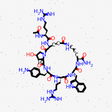 CC(=O)N[C@@H](CCCNC(=N)N)C(=O)N[C@H]1CCC(=O)NCCC[C@@H](C(N)=O)NC(=O)[C@H](Cc2c[nH]c3ccccc23)NC(=O)[C@H](CCCNC(=N)N)NC(=O)[C@@H](Cc2ccc(N)cc2)NC(=O)[C@@H]2C[C@@H](O)CN2C1=O